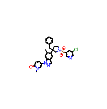 Cc1cc2c(cnn2-c2ccc(=O)n(C)c2)cc1C1(Cc2ccccc2)CCN(S(=O)(=O)c2cncc(Cl)c2)C1